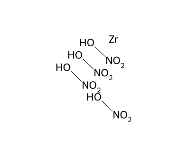 O=[N+]([O-])O.O=[N+]([O-])O.O=[N+]([O-])O.O=[N+]([O-])O.[Zr]